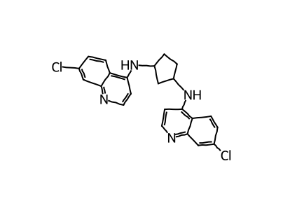 Clc1ccc2c(NC3CCC(Nc4ccnc5cc(Cl)ccc45)C3)ccnc2c1